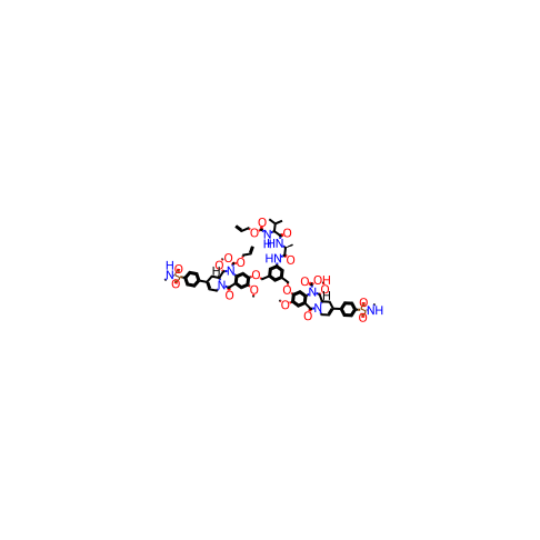 C=CCOC(=O)NC(C(=O)N[C@@H](C)C(=O)Nc1cc(COc2cc3c(cc2OC)C(=O)N2CC=C(c4ccc(S(=O)(=O)NC)cc4)C[C@H]2C(OC)N3C(=O)O)cc(COc2cc3c(cc2OC)C(=O)N2CC=C(c4ccc(S(=O)(=O)NC)cc4)C[C@H]2C(OC)N3C(=O)OCC=C)c1)C(C)C